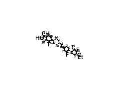 CCOc1ccc(-c2ccc(CCC3CCC(c4ccc(C(C)O)c(F)c4F)CC3)cc2F)c(F)c1F